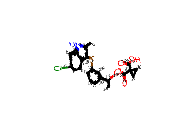 Cc1[nH]c2cc(Cl)ccc2c1Sc1cccc(C(C)OC(=O)C2(C(=O)O)CC2)c1